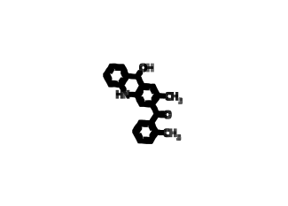 Cc1ccccc1C(=O)c1cc2c(cc1C)C(O)c1ccccc1N2